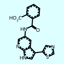 O=C(O)c1ccccc1C(=O)Nc1cnc2[nH]cc(-c3cncs3)c2c1